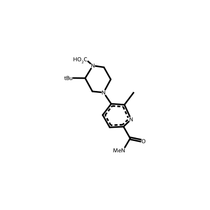 CNC(=O)c1ccc(N2CCN(C(=O)O)C(C(C)(C)C)C2)c(C)n1